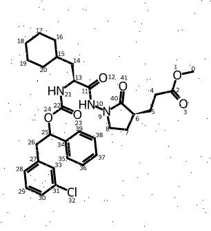 COC(=O)CC[C@H]1CCN(NC(=O)[C@H](CC2CCCCC2)NC(=O)OC(Cc2cccc(Cl)c2)c2ccccc2)C1=O